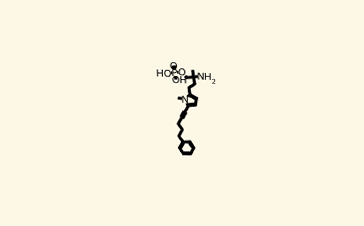 Cn1c(C#CCCCc2ccccc2)ccc1CCC(C)(N)COP(=O)(O)O